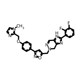 Cn1ccnc1COc1ccc(-c2cc(CN3Cc4nc(-c5cccc(F)c5F)[nH]c4C=N3)on2)cc1